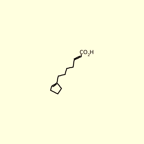 O=C(O)C=CCCCCC1=CCCC1